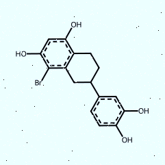 Oc1ccc(C2CCc3c(O)cc(O)c(Br)c3C2)cc1O